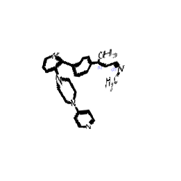 C/N=C\C=C(/C)c1ccc(-c2ncccc2N2CCN(c3ccncc3)CC2)cc1